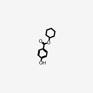 O=C(OC1CCCCC1)c1ccc(O)cc1